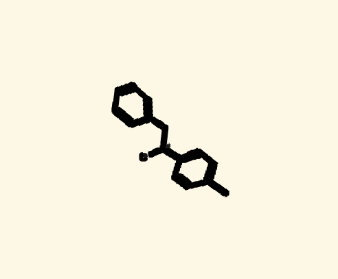 Cc1ccc([S+]([O-])Cc2ccccc2)cc1